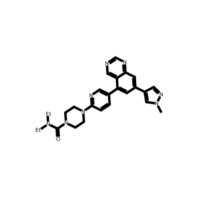 CCN(CC)C(=O)N1CCN(c2ccc(-c3cc(-c4cnn(C)c4)cc4ncncc34)cn2)CC1